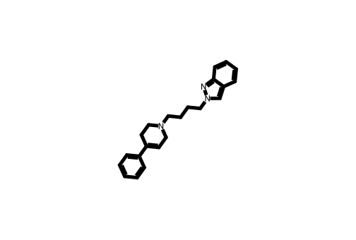 C1=C(c2ccccc2)CCN(CCCCn2cc3ccccc3n2)C1